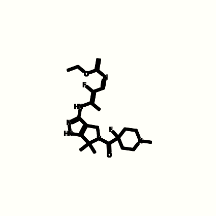 C=C(/N=C\C(F)=C(/C)Nc1n[nH]c2c1CN(C(=O)C1(F)CCN(C)CC1)C2(C)C)OCC